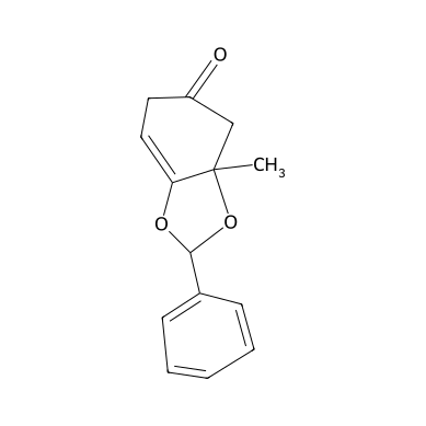 CC12CC(=O)CC=C1OC(c1ccccc1)O2